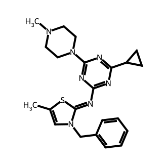 Cc1cn(Cc2ccccc2)/c(=N/c2nc(C3CC3)nc(N3CCN(C)CC3)n2)s1